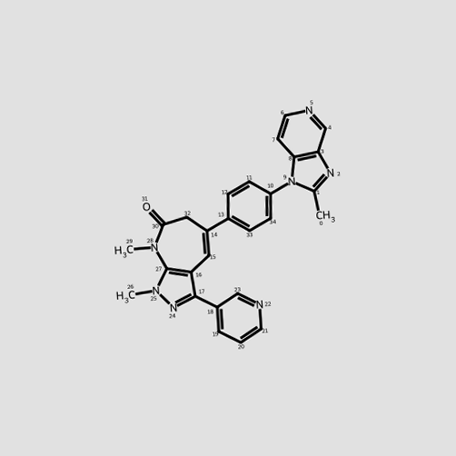 Cc1nc2cnccc2n1-c1ccc(C2=Cc3c(-c4cccnc4)nn(C)c3N(C)C(=O)C2)cc1